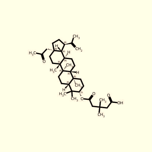 C=C(C)[C@@H]1CC[C@]2(CC(C)=O)CC[C@]3(C)[C@H](CC[C@@H]4[C@@]5(C)CC[C@H](OC(=O)CC(C)(C)CC(=O)O)C(C)(C)[C@@H]5CC[C@]43C)[C@@H]12